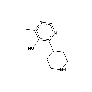 Cc1ncnc(N2CCNCC2)c1O